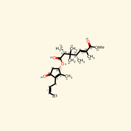 CC/C=C\CC1=C(C)[C@@H](OC(=O)[C@H](C)C(C)(C)[C@@H](C)/C=C(\C)C(=O)OC)CC1=O